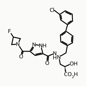 O=C(NN(Cc1ccc(-c2cccc(Cl)c2)cc1)C[C@@H](O)C(=O)O)c1cc(C(=O)N2CC(F)C2)n[nH]1